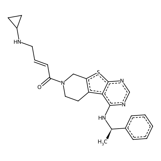 C[C@@H](Nc1ncnc2sc3c(c12)CCN(C(=O)/C=C/CNC1CC1)C3)c1ccccc1